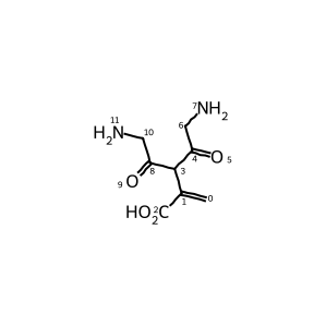 C=C(C(=O)O)C(C(=O)CN)C(=O)CN